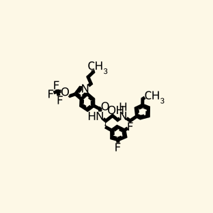 CCCCn1cc(COC(F)(F)F)c2ccc(C(=O)N[C@@H](Cc3cc(F)cc(F)c3)[C@H](O)CNCc3cccc(CC)c3)cc21